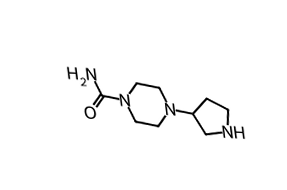 NC(=O)N1CCN(C2CCNC2)CC1